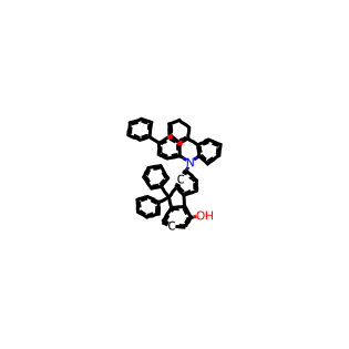 Oc1cccc2c1-c1ccc(N(c3ccc(-c4ccccc4)cc3)c3ccccc3C3=CC=CCC3)cc1C2(c1ccccc1)c1ccccc1